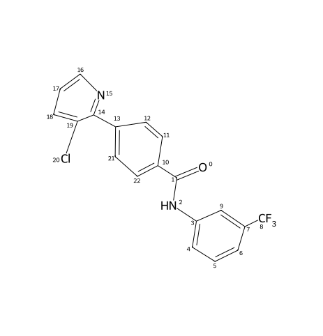 O=C(Nc1cccc(C(F)(F)F)c1)c1ccc(-c2ncccc2Cl)cc1